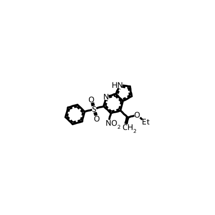 C=C(OCC)c1c([N+](=O)[O-])c(S(=O)(=O)c2ccccc2)nc2[nH]ccc12